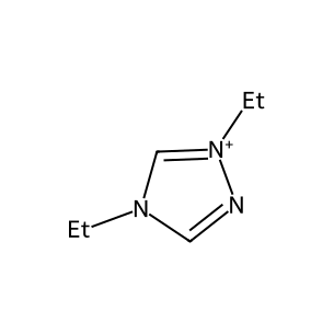 CCn1cn[n+](CC)c1